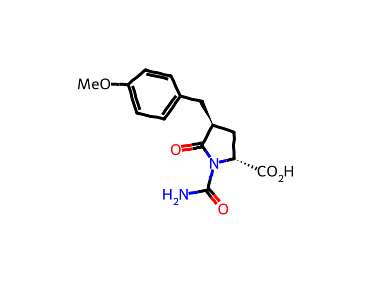 COc1ccc(C[C@H]2C[C@H](C(=O)O)N(C(N)=O)C2=O)cc1